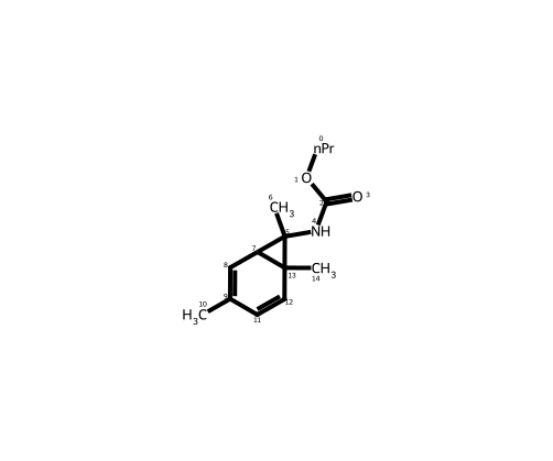 CCCOC(=O)NC1(C)C2C=C(C)C=CC21C